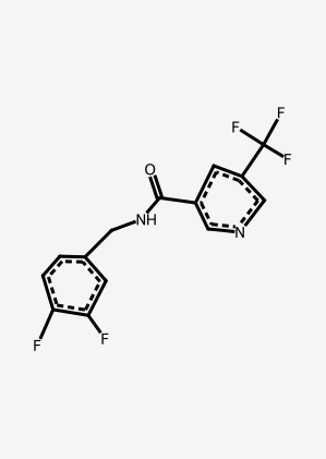 O=C(NCc1ccc(F)c(F)c1)c1cncc(C(F)(F)F)c1